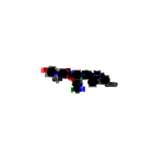 COc1ccc(CN2CCN(C3CC4(CCN(c5ccc(C(=O)NS(=O)(=O)c6ccc(NC[C@H]7CC[C@](C)(O)CC7)c([N+](=O)[O-])c6)c(Oc6cc7c(F)c[nH]c7nc6Cl)c5)CC4)C3)C(c3ccccc3C(C)C)C2)cc1